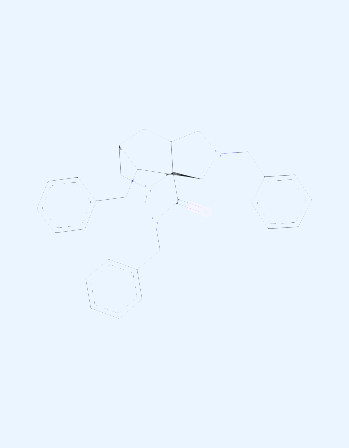 CC(=O)N1CC2CC3CN(Cc4ccccc4)C(C2Cc2ccccc2)C31C(=O)NCc1ccccc1